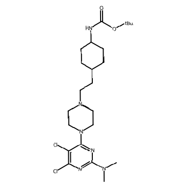 CN(C)c1nc(Cl)c(Cl)c(N2CCN(CCC3CCC(NC(=O)OC(C)(C)C)CC3)CC2)n1